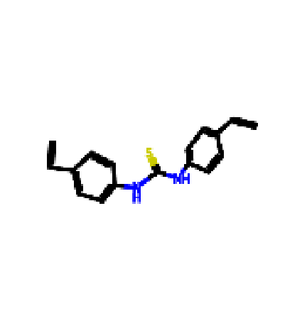 C=Cc1ccc(NC(=S)Nc2ccc(C=C)cc2)cc1